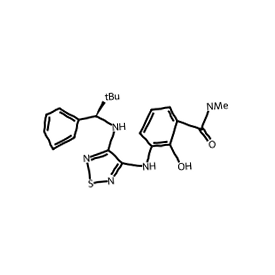 CNC(=O)c1cccc(Nc2nsnc2N[C@@H](c2ccccc2)C(C)(C)C)c1O